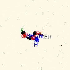 CC(C)(C)c1csc(COc2cccc(C(=O)Nc3cc(CCCS(=O)(=O)c4ccc(F)cc4)ccc3OCc3nnn[nH]3)c2)n1